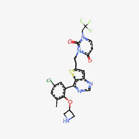 Cc1cc(Cl)cc(-c2ncnc3cc(Cn4c(=O)ccn(CC(F)(F)F)c4=O)sc23)c1OC1CNC1